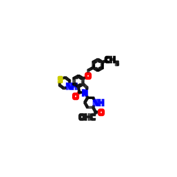 C1CSCCN1.Cc1ccc(COc2cccc3c2CN(C2CCC(C(=O)C=O)NC2)C3=O)cc1